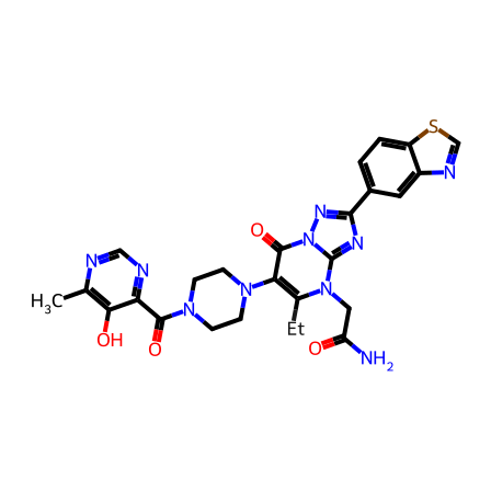 CCc1c(N2CCN(C(=O)c3ncnc(C)c3O)CC2)c(=O)n2nc(-c3ccc4scnc4c3)nc2n1CC(N)=O